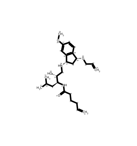 C=CCCCC(=O)N[C@@H](CC(C)C)[C@H](O)CN[C@H]1C[C@@H](OCC=C)c2ccc(OC)cc21